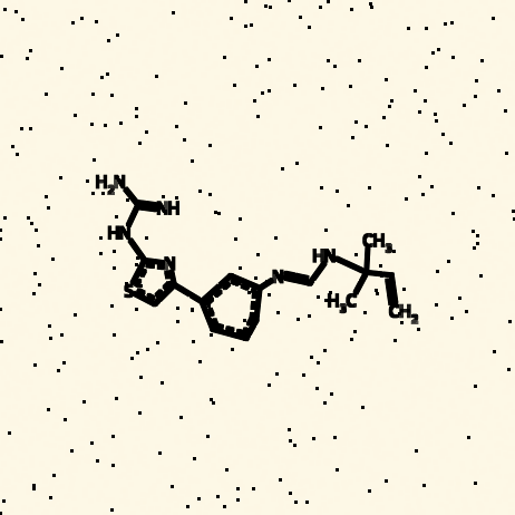 C=CC(C)(C)N/C=N/c1cccc(-c2csc(NC(=N)N)n2)c1